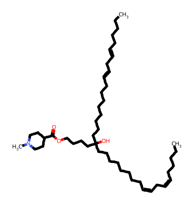 CCCCCC=CCC=CCCCCCCCCC(O)(CCCCCCCC/C=C\C/C=C\CCCCC)CCCCOC(=O)C1CCN(C)CC1